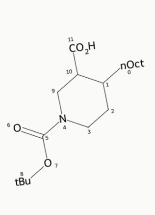 CCCCCCCCC1CCN(C(=O)OC(C)(C)C)CC1C(=O)O